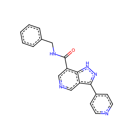 O=C(NCc1ccccc1)c1cncc2c(-c3ccncc3)n[nH]c12